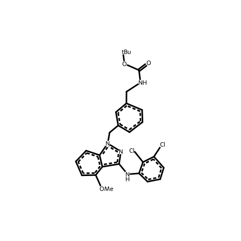 COc1cccc2c1c(Nc1cccc(Cl)c1Cl)nn2Cc1cccc(CNC(=O)OC(C)(C)C)c1